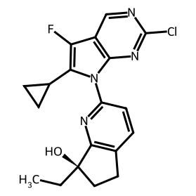 CC[C@@]1(O)CCc2ccc(-n3c(C4CC4)c(F)c4cnc(Cl)nc43)nc21